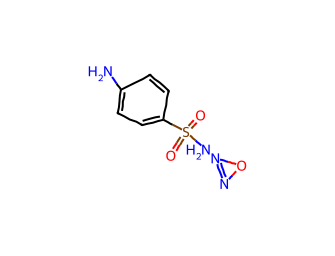 N1=NO1.Nc1ccc(S(N)(=O)=O)cc1